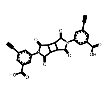 C#Cc1cc(C(=O)O)cc(N2C(=O)C3C(C2=O)C2C(=O)N(c4cc(C#C)cc(C(=O)O)c4)C(=O)C32)c1